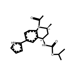 CC(=O)N1c2ccc(-c3ccc[nH]3)cc2[C@H](NC(=O)OC(C)C)C[C@@H]1C